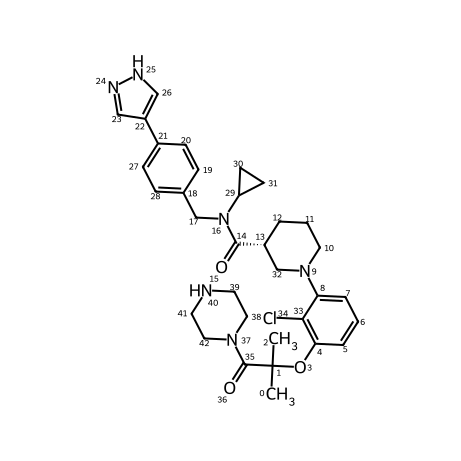 CC(C)(Oc1cccc(N2CCC[C@@H](C(=O)N(Cc3ccc(-c4cn[nH]c4)cc3)C3CC3)C2)c1Cl)C(=O)N1CCNCC1